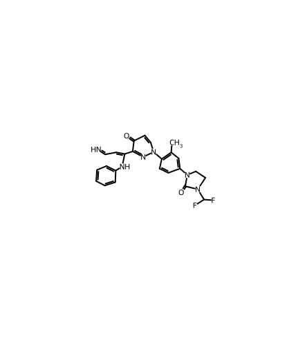 Cc1cc(N2CCN(C(F)F)C2=O)ccc1-n1ccc(=O)c(/C(=C/C=N)Nc2ccccc2)n1